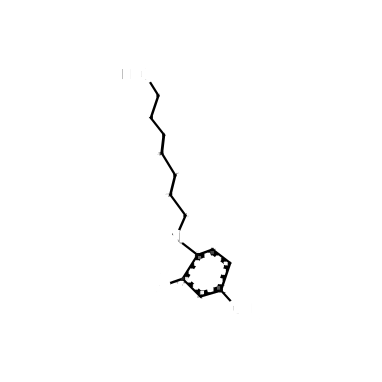 CCCCCCCCNc1ccc(C)cc1C